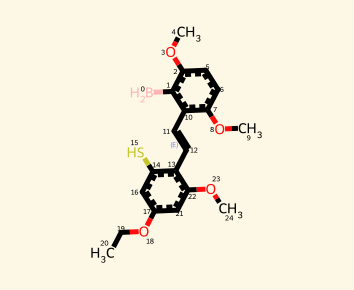 Bc1c(OC)ccc(OC)c1/C=C/c1c(S)cc(OCC)cc1OC